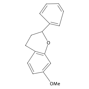 COc1ccc2c(c1)OC(c1ccccc1)CC2